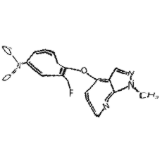 Cn1ncc2c(Oc3ccc([N+](=O)[O-])cc3F)ccnc21